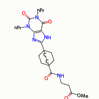 CCCn1c(=O)c2[nH]c(C34CCC(C(=O)NCCC(=O)OC)(CC3)CC4)nc2n(CCC)c1=O